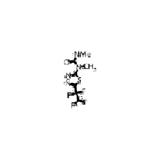 CNC(=O)N(C)c1nnc(C(F)(F)C(F)F)s1